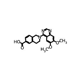 COc1cc2ncnc(N3CCc4cc(C(=O)O)ccc4C3)c2cc1OC